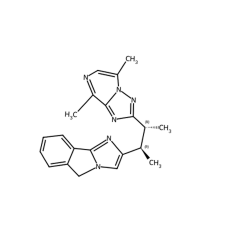 Cc1ncc(C)n2nc([C@H](C)[C@@H](C)c3cn4c(n3)-c3ccccc3C4)nc12